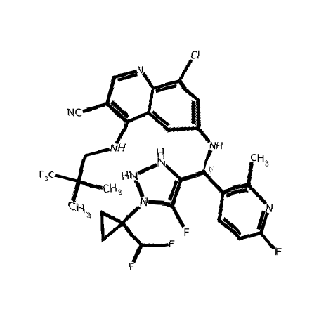 Cc1nc(F)ccc1[C@H](Nc1cc(Cl)c2ncc(C#N)c(NCC(C)(C)C(F)(F)F)c2c1)C1=C(F)N(C2(C(F)F)CC2)NN1